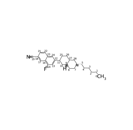 CCCCCC[C@@H]1CC[C@@H]2CC(c3cc(F)c4cc(C#N)ccc4c3)CCC2C1